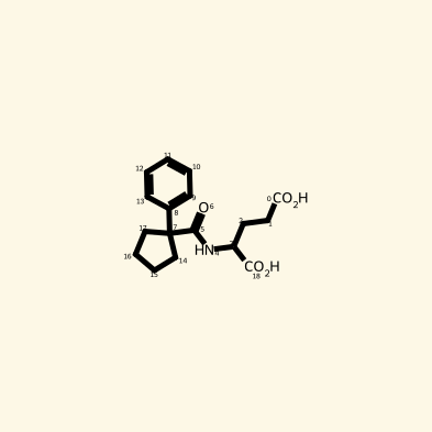 O=C(O)CCC(NC(=O)C1(c2ccccc2)CCCC1)C(=O)O